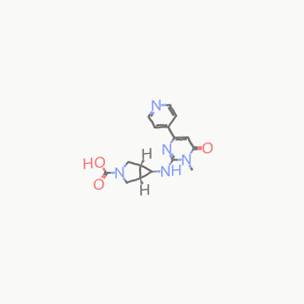 Cn1c(N[C@H]2[C@@H]3CN(C(=O)O)C[C@@H]32)nc(-c2ccncc2)cc1=O